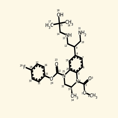 COC(=O)N1c2ccc(C(CN)CNCC(C)(C)O)cc2N(C(=O)Oc2ccc(F)cc2)C[C@@H]1C